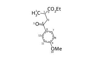 CCOC(=O)C(C)CC(=O)c1ccc(OC)cc1